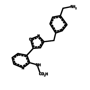 NCc1ccc(Cc2cc(-c3cccnc3NC(=O)O)on2)cc1